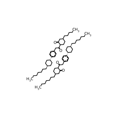 CCCCCCCC1CCC(C(=O)Cc2ccc([C@H]3CC[C@H](CCCCCCC)CC3)cc2)C(=O)C1.CCCCCCC[C@H]1CC[C@H](c2ccc(CC(=O)C3CCC(CCCCC)CC3=O)cc2)CC1